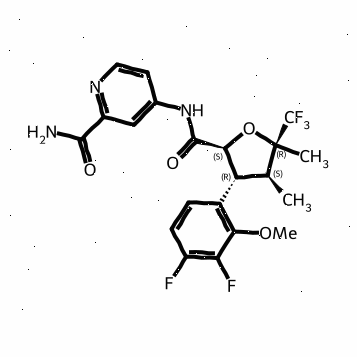 COc1c([C@@H]2[C@@H](C(=O)Nc3ccnc(C(N)=O)c3)O[C@@](C)(C(F)(F)F)[C@H]2C)ccc(F)c1F